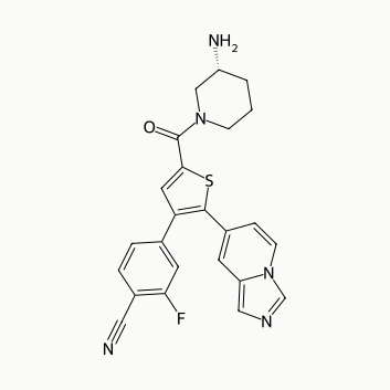 N#Cc1ccc(-c2cc(C(=O)N3CCC[C@@H](N)C3)sc2-c2ccn3cncc3c2)cc1F